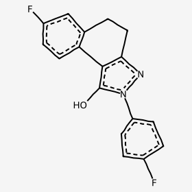 Oc1c2c(nn1-c1ccc(F)cc1)CCc1cc(F)ccc1-2